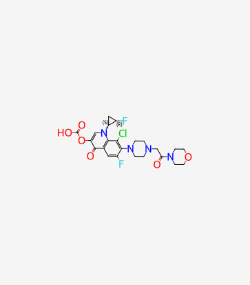 O=C(O)Oc1cn([C@H]2C[C@H]2F)c2c(Cl)c(N3CCN(CC(=O)N4CCOCC4)CC3)c(F)cc2c1=O